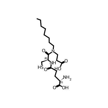 CCCCCCCCN(CCC(=O)O)C(=O)[C@H](CS)NC(=O)CC[C@H](N)C(=O)O